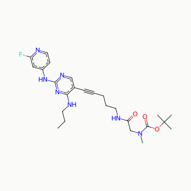 CCCNc1nc(Nc2ccnc(F)c2)ncc1C#CCCCNC(=O)CN(C)C(=O)OC(C)(C)C